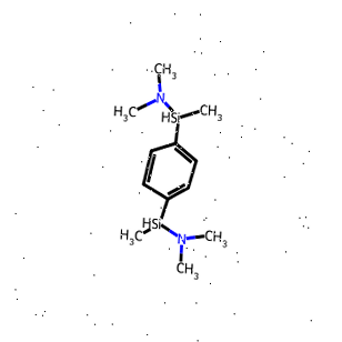 CN(C)[SiH](C)c1ccc([SiH](C)N(C)C)cc1